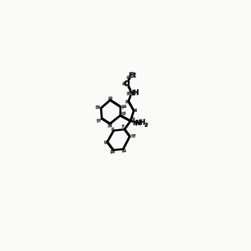 CCONCCC(N)(C1CCCCC1)C1CCCCC1